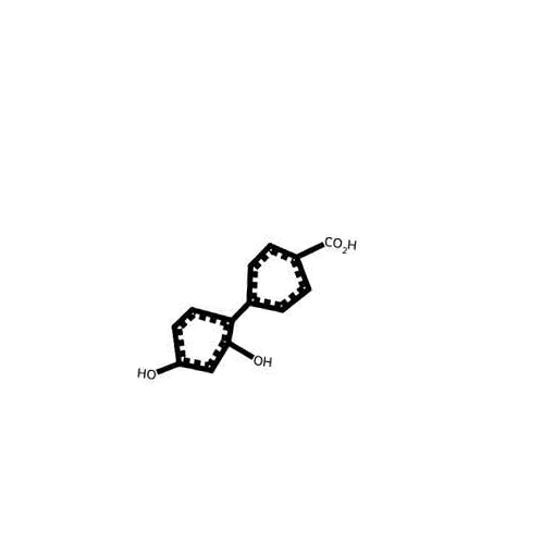 O=C(O)c1ccc(-c2ccc(O)cc2O)cc1